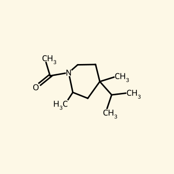 CC(=O)N1CCC(C)(C(C)C)CC1C